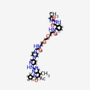 CC(=O)c1c(C)c2cnc(Nc3ccc(N4CCN(CC(=O)NCCOCCOCCC(=O)Nc5ccccc5C(=O)NC5=NCC(C)O5)CC4)cn3)nc2n(C2CCCC2)c1=O